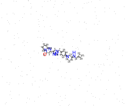 O=c1cc(-c2cn(Cc3ccc(N4CCC[C@@H](NCC5CCC5)C4)cc3)nn2)nc2ccccn12